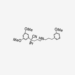 COc1cccc(CCCNCCC[C@@](C#N)(c2cc(OC)cc(OC)c2)C(C)C)c1